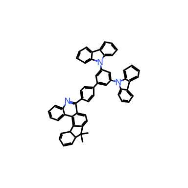 CC1(C)c2ccc3c(-c4ccc(-c5cc(-n6c7ccccc7c7ccccc76)cc(-n6c7ccccc7c7ccccc76)c5)cc4)nc4ccccc4c3c2C2C=CC=CC21